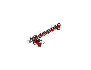 CCCN(OCCNC(=O)OCCOCCOCCOCCOCCOCCOCCOCCOCCOCCOCCNC(=O)CN1C(=O)C=CC1=O)C(=O)C1=Cc2ccc(C(=O)N3CCCC3)cc2N=C(N)C1